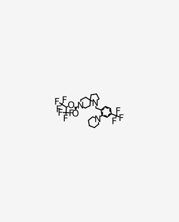 O=C(OC(C(F)(F)F)C(F)(F)F)N1CCC2(CCCN2Cc2ccc(C(F)(F)F)cc2N2CCCCC2)CC1